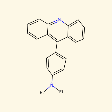 CCN(CC)c1ccc(-c2c3ccccc3nc3ccccc23)cc1